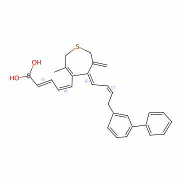 C=C1CSCC(C)=C(/C=C\C=C\B(O)O)/C1=C/C=C\Cc1cccc(-c2ccccc2)c1